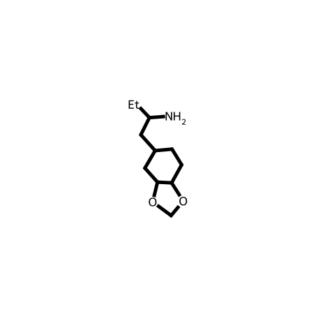 CCC(N)CC1CCC2OCOC2C1